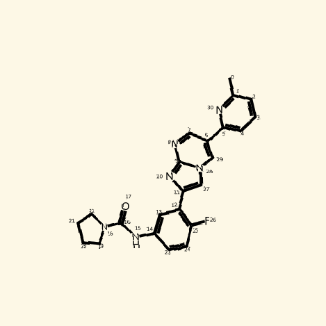 Cc1cccc(-c2cnc3nc(-c4cc(NC(=O)N5CCCC5)ccc4F)cn3c2)n1